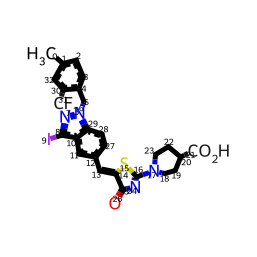 Cc1ccc(Cn2nc(I)c3cc(/C=C4\SC(N5CCC(C(=O)O)CC5)=NC4=O)ccc32)c(C(F)(F)F)c1